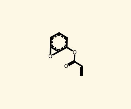 C=CC(=O)Oc1cccc2c1O2